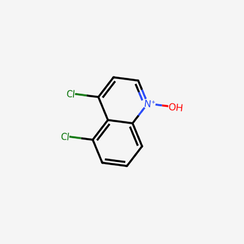 O[n+]1ccc(Cl)c2c(Cl)cccc21